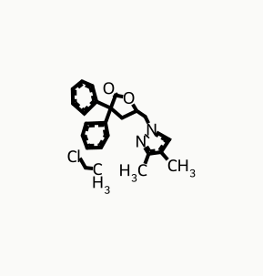 CCCl.Cc1cn(CC2CC(c3ccccc3)(c3ccccc3)C(=O)O2)nc1C